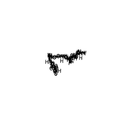 O=C1CCC(N2C(=O)c3ccc(NCCc4cnnn4CCOCCOCCNCc4ccc(-n5cc(NC(=O)c6coc(-c7ccnc(NCC8CC8)c7)n6)c(C(F)F)n5)cc4)cc3C2=O)C(=O)N1